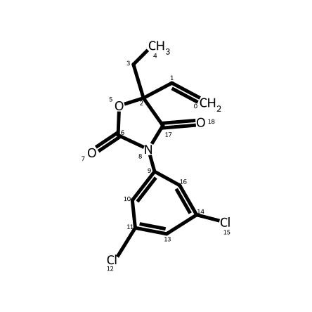 C=CC1(CC)OC(=O)N(c2cc(Cl)cc(Cl)c2)C1=O